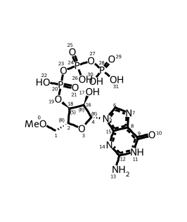 COC[C@H]1O[C@@H](n2cnc3c(=O)[nH]c(N)nc32)[C@H](O)[C@@H]1OP(=O)(O)OP(=O)(O)OP(=O)(O)O